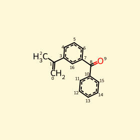 C=C(C)c1cccc(C(=O)c2ccccc2)c1